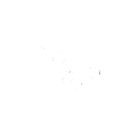 Cc1cc(-c2cnc3[nH]cc(-c4cc[c]cc4)c3n2)cc2c1CCN(C)C2